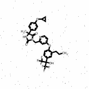 CCCc1cc(C(O)(C(F)(F)F)C(F)(F)F)ccc1Oc1ccnc(CN2C(=O)NC(C)(c3ccc(OC4CC4)cc3)C2=O)c1